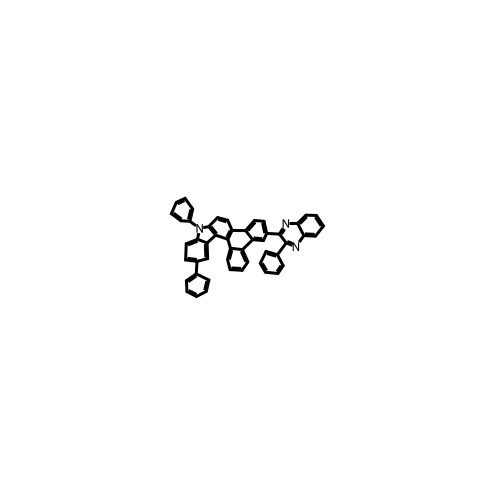 c1ccc(-c2ccc3c(c2)c2c4c5ccccc5c5cc(-c6nc7ccccc7nc6-c6ccccc6)ccc5c4ccc2n3-c2ccccc2)cc1